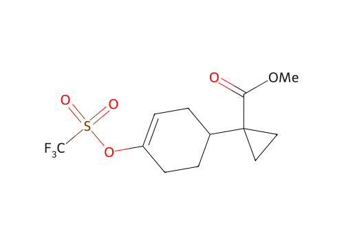 COC(=O)C1(C2CC=C(OS(=O)(=O)C(F)(F)F)CC2)CC1